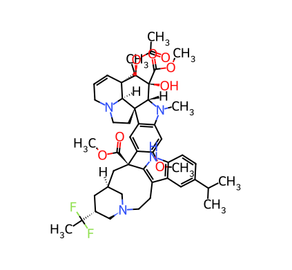 CC[C@]12C=CCN3CC[C@@]4(c5cc([C@@]6(C(=O)OC)C[C@@H]7C[C@@H](C(C)(F)F)C[N@](CCc8c6[nH]c6ccc(C(C)C)cc86)C7)c(OC)cc5N(C)[C@H]4[C@@](O)(C(=O)OC)[C@@H]1OC(C)=O)[C@@H]32